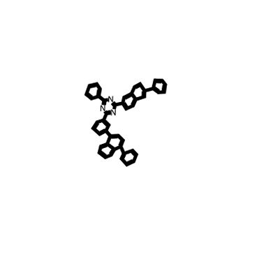 c1ccc(-c2ccc3cc(-c4nc(-c5ccccc5)nc(-c5cccc(-c6ccc(-c7ccccc7)c7ccccc67)c5)n4)ccc3c2)cc1